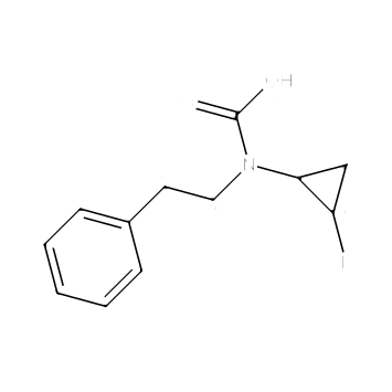 O=C(O)N(CCc1ccccc1)C1CC1F